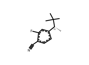 C[C@H](c1ccc(C#N)c(F)c1)C(C)(C)C